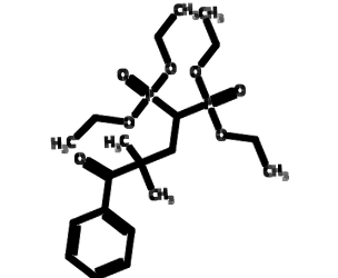 CCOP(=O)(OCC)C(CC(C)(C)C(=O)c1ccccc1)P(=O)(OCC)OCC